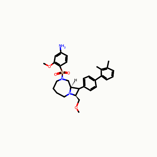 COC[C@@H]1C(c2ccc(-c3cccc(C)c3C)cc2)[C@@H]2CN(S(=O)(=O)c3ccc(N)cc3OC)CCCCN12